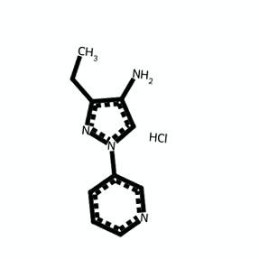 CCc1nn(-c2cccnc2)cc1N.Cl